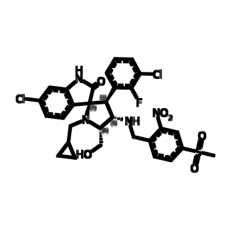 CS(=O)(=O)c1ccc(CN[C@@H]2[C@H](CO)N(CC3CC3)[C@@]3(C(=O)Nc4cc(Cl)ccc43)[C@H]2c2cccc(Cl)c2F)c([N+](=O)[O-])c1